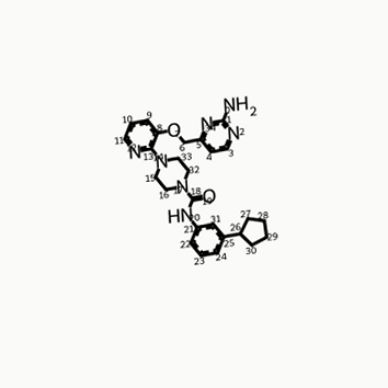 Nc1nccc(COc2cccnc2N2CCN(C(=O)Nc3cccc(C4CCCC4)c3)CC2)n1